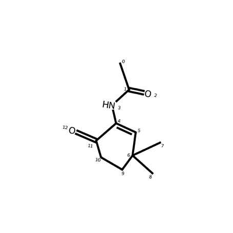 CC(=O)NC1=CC(C)(C)CCC1=O